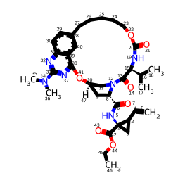 C=CC1C[C@]1(NC(=O)[C@@H]1C[C@@H]2CN1C(=O)[C@H](C(C)C)NC(=O)OCCCCCc1ccc3nc(N(C)C)nc(c3c1)O2)C(=O)OCC